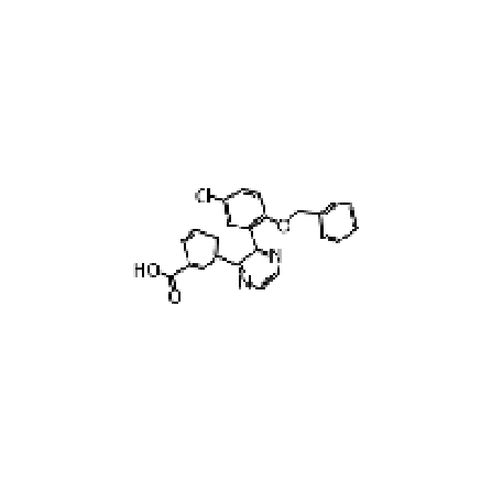 O=C(O)c1cccc(-c2nccnc2-c2cc(Cl)ccc2OCc2ccccc2)c1